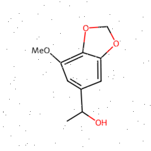 COc1cc(C(C)O)cc2c1OCO2